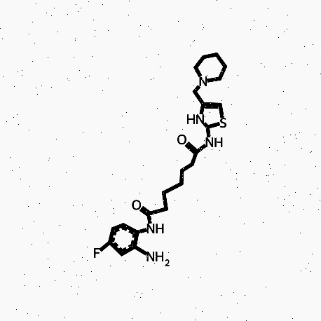 Nc1cc(F)ccc1NC(=O)CCCCCC(=O)NC1NC(CN2CCCCC2)=CS1